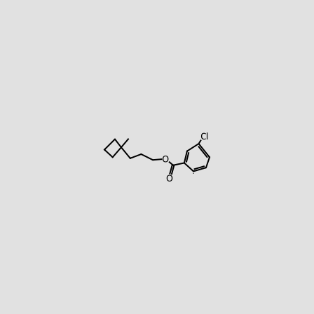 CC1(CCCOC(=O)c2[c]ccc(Cl)c2)CCC1